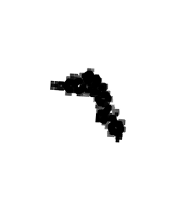 C/C=C(\SC1(N2C[C@@H]3C[C@@H](O)CN3C[C@@H]2C)C=CC1)S(=O)(=O)N1CCN(Cc2cncn2[C@H](C)c2ccc(F)cc2)CC1